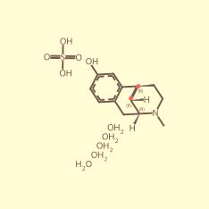 CN1CC[C@]23CCCC[C@H]2[C@H]1Cc1ccc(O)cc13.O.O.O.O.O.O=S(=O)(O)O